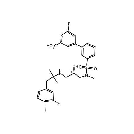 Cc1ccc(CC(C)(C)NC[C@@H](O)CN(C)S(=O)(=O)c2cccc(-c3cc(F)cc(C(=O)O)c3)c2)cc1F